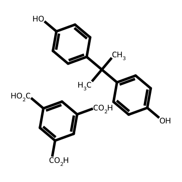 CC(C)(c1ccc(O)cc1)c1ccc(O)cc1.O=C(O)c1cc(C(=O)O)cc(C(=O)O)c1